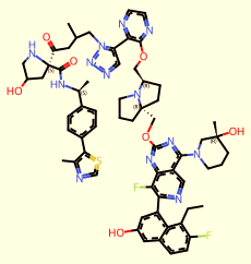 CCc1c(F)ccc2cc(O)cc(-c3ncc4c(N5CCC[C@@](C)(O)C5)nc(OC[C@]56CCCN5[C@@H](COc5nccnc5-c5cnnn5CC(C)CC(=O)[C@]5(C(=O)N[C@@H](C)c7ccc(-c8scnc8C)cc7)CC(O)CN5)CC6)nc4c3F)c12